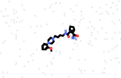 COc1ccccc1N1CCN(CCCCNC(=O)C2C3CCC(C3)C2C(N)=O)CC1